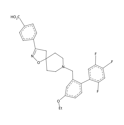 CCOc1ccc(-c2cc(F)c(F)cc2F)c(CN2CCC3(CC2)CC(c2ccc(C(=O)O)cc2)=NO3)c1